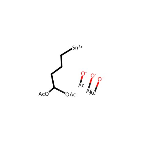 CC(=O)OC(CC[CH2][Sn+3])OC(C)=O.CC(=O)[O-].CC(=O)[O-].CC(=O)[O-]